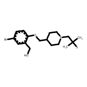 CC(C)(F)CN1CCC(COc2ccc(Br)cc2CO)CC1